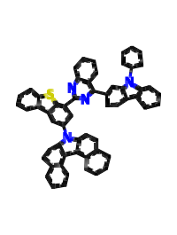 c1ccc(-n2c3ccccc3c3ccc(-c4nc(-c5cc(-n6c7ccc8ccccc8c7c7c8ccccc8ccc76)cc6c5sc5ccccc56)nc5ccccc45)cc32)cc1